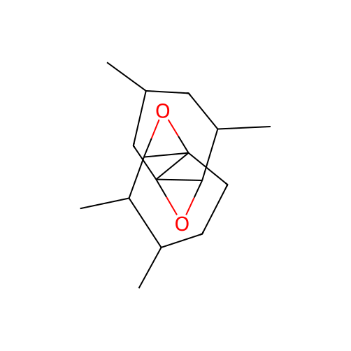 CC1CC(C)C2OC2(C23CCC(C)C(C)C2O3)C1